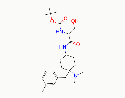 Cc1cccc(CC2(N(C)C)CCC(NC(=O)C(CO)NC(=O)OC(C)(C)C)CC2)c1